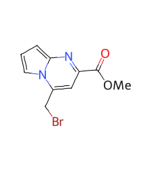 COC(=O)c1cc(CBr)n2cccc2n1